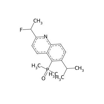 CC(C)c1ccc2nc(C(C)F)ccc2c1P(C)(C)=O